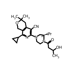 CC(O)CC(=O)N1CCN(c2nc(C3CC3)c3c(c2C#N)CC(C)(C)OC3)C[C@H]1C(C)C